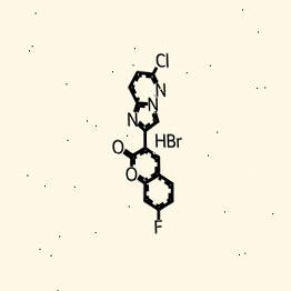 Br.O=c1oc2cc(F)ccc2cc1-c1cn2nc(Cl)ccc2n1